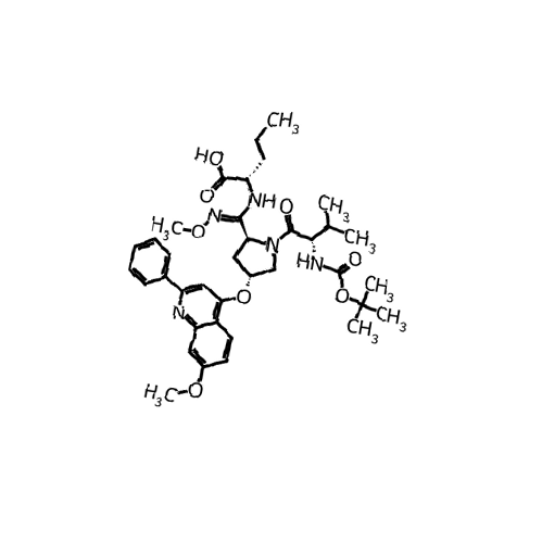 CCC[C@H](N/C(=N/OC)[C@@H]1C[C@@H](Oc2cc(-c3ccccc3)nc3cc(OC)ccc23)CN1C(=O)[C@@H](NC(=O)OC(C)(C)C)C(C)C)C(=O)O